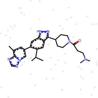 Cc1cc(-c2cc3[nH]nc(C4CCN(C(=O)CCN(C)C)CC4)c3cc2C(C)C)cn2ncnc12